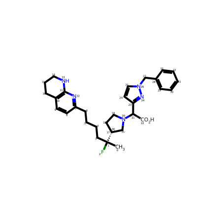 CC(F)(CCCCc1ccc2c(n1)NCCC2)[C@@H]1CCN(C(C(=O)O)c2ccn(Cc3ccccc3)n2)C1